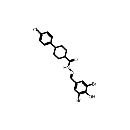 O=C(NN=Cc1cc(Br)c(O)c(Br)c1)C1CCC(c2ccc(Cl)cc2)CC1